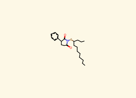 CCCCCCCCC(CCC)SN1C(=O)CCC(c2ccccc2)C1=O